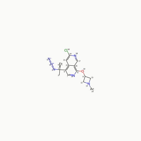 CC[C@@](C)(N=[N+]=[N-])c1cnc(OC2CN(C(C)=O)C2)c2cnc(Cl)cc12